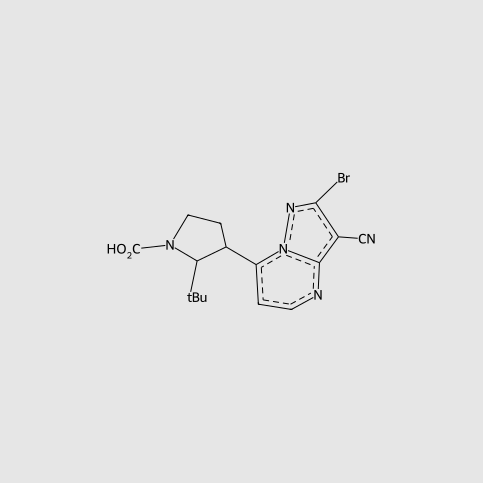 CC(C)(C)C1C(c2ccnc3c(C#N)c(Br)nn23)CCN1C(=O)O